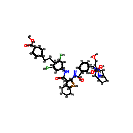 COCCS(=O)(=O)N1C2CCC1CN(Cc1cccc(C(=O)Nc3sc4c(c3C(=O)Nc3cc(F)c(CCc5ccc(C(=O)OC)cc5)c(F)c3)CCCC4)c1)C2